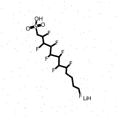 O=S(=O)(O)CC(F)C(F)C(F)C(F)C(F)C(F)C(F)CCCCF.[LiH]